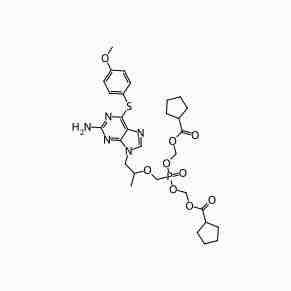 COc1ccc(Sc2nc(N)nc3c2ncn3CC(C)OCP(=O)(OCOC(=O)C2CCCC2)OCOC(=O)C2CCCC2)cc1